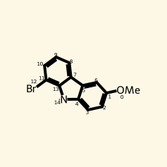 COc1ccc2c(c1)-c1cccc(Br)c1[N]2